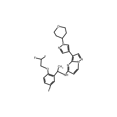 CC(Nc1ccn2ncc(-c3cnn(C4CCOCC4)c3)c2n1)c1cc(F)ccc1OCC(F)F